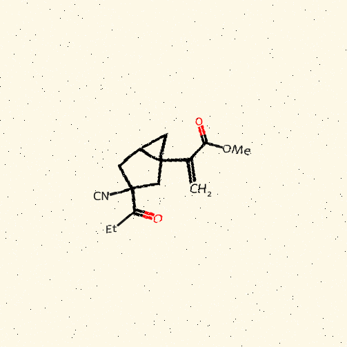 [C-]#[N+]C1(C(=O)CC)CC2CC2(C(=C)C(=O)OC)C1